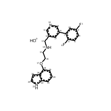 Cl.Fc1ccc(F)c(-c2cncc(CNCCOc3cccc4[nH]ccc34)c2)c1